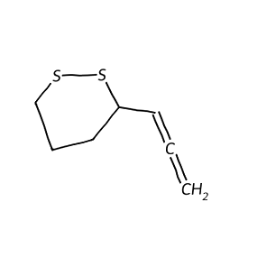 C=C=CC1CCCSS1